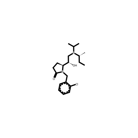 CC[C@@H](C)N(C[C@H](O)[C@@H]1CCC(=O)N1Cc1ccccc1Cl)C(C)C